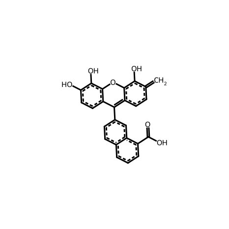 C=c1ccc2c(c1O)Oc1c(ccc(O)c1O)C=2c1ccc2cccc(C(=O)O)c2c1